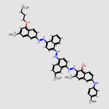 COc1ccc(Nc2ccc3c(O)c(N=Nc4ccc(N=Nc5ccc(N=Nc6ccc7c(OCCCS(=O)(=O)O)cc(S(=O)(=O)O)cc7c6)c6ccccc56)c5ccc(S(=O)(=O)O)cc45)c(S(=O)(=O)O)cc3c2)cc1